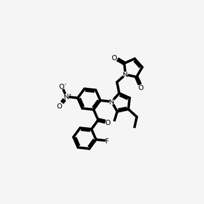 CCc1cc(CN2C(=O)C=CC2=O)n(-c2ccc([N+](=O)[O-])cc2C(=O)c2ccccc2F)c1C